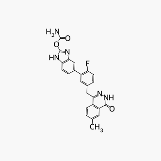 Cc1ccc2c(Cc3ccc(F)c(-c4ccc5[nH]c(OC(N)=O)nc5c4)c3)n[nH]c(=O)c2c1